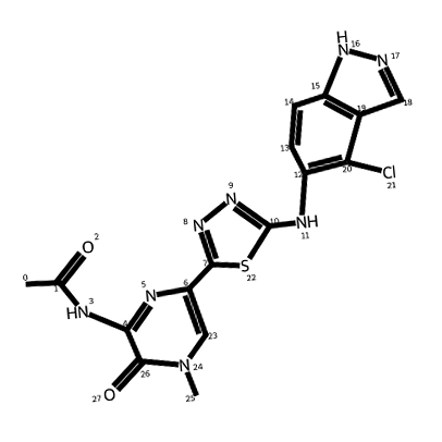 CC(=O)Nc1nc(-c2nnc(Nc3ccc4[nH]ncc4c3Cl)s2)cn(C)c1=O